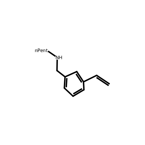 C=Cc1cccc(CNCCCCC)c1